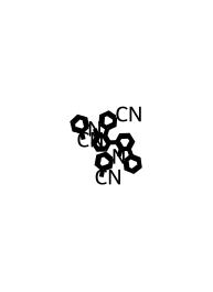 N#Cc1cccc(-n2c3ccccc3c3cccc(-c4cccc5c4c4cc(C#N)ccc4n5-c4ccccc4C#N)c32)c1